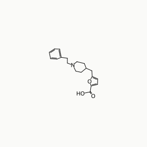 O=C(O)c1ccc(CC2CCN(CCc3ccccc3)CC2)o1